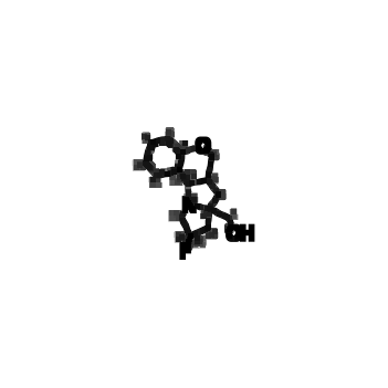 OCC12CC3COc4ccccc4C3N1C[C@H](F)C2